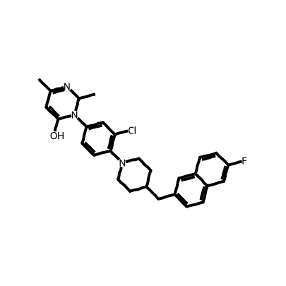 CC1=NC(C)N(c2ccc(N3CCC(Cc4ccc5cc(F)ccc5c4)CC3)c(Cl)c2)C(O)=C1